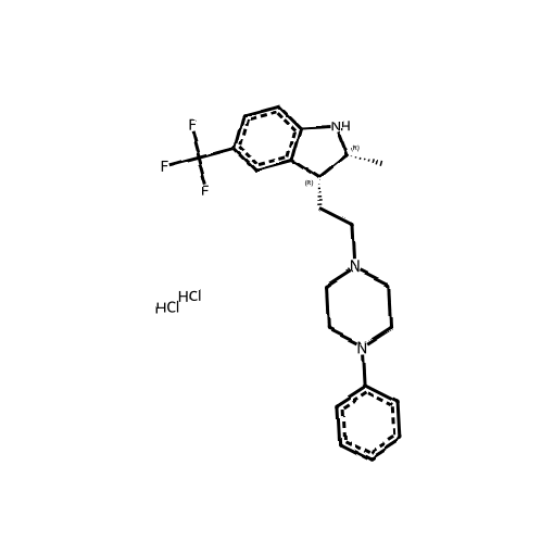 C[C@H]1Nc2ccc(C(F)(F)F)cc2[C@H]1CCN1CCN(c2ccccc2)CC1.Cl.Cl